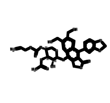 C=CCOC(=O)O[C@@H]1COC(Oc2c3c(c(-c4ccc5c(c4)OCO5)c4cc(CO)c(CO)cc24)C(=O)OC3)[C@H](O)[C@H]1OC(C)=O